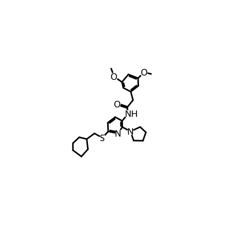 COc1cc(CC(=O)Nc2ccc(SCC3CCCCC3)nc2N2CCCC2)cc(OC)c1